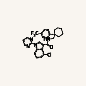 O=C(NCC1(c2ccc(C(F)(F)F)cc2)CCCCC1)c1cn(-c2ncccn2)c2cccc(Cl)c12